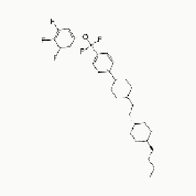 CCCC[C@H]1CC[C@H](CCC2CCC(c3ccc(C(F)(F)Oc4cc(F)c(F)c(F)c4)cc3)CC2)CC1